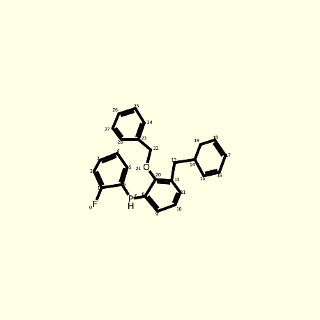 Fc1ccccc1Pc1cccc(CC2C=CC=CC2)c1OCc1ccccc1